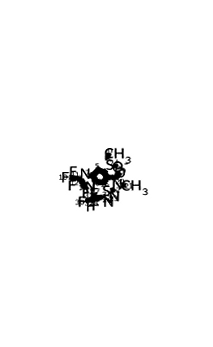 CC[S+]([O-])c1cc2nc(C(F)(F)F)cnc2cc1C(=O)N(C)c1nnc(C(F)(F)C(F)(F)F)s1